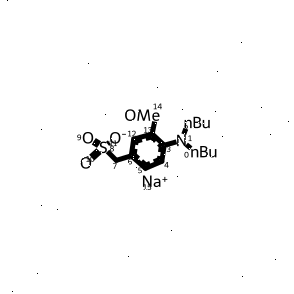 CCCCN(CCCC)c1ccc(CS(=O)(=O)[O-])cc1OC.[Na+]